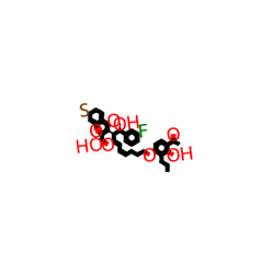 CCCc1c(OCCC/C=C\C=C\[C@@H](c2c(C(=O)O)oc3c(c2=O)=CCC(=S)C=3)[C@@H](O)c2cccc(F)c2)ccc(C(C)=O)c1O